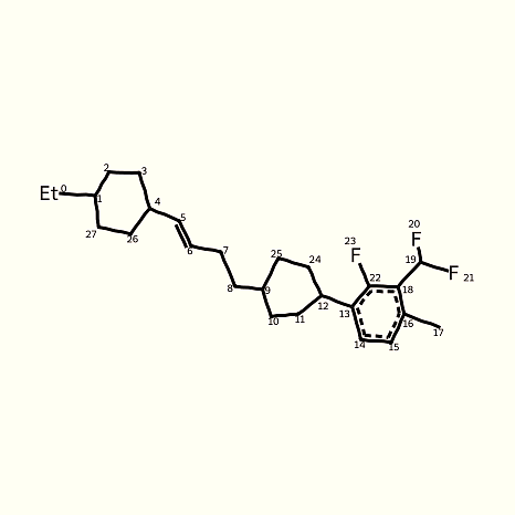 CCC1CCC(/C=C/CCC2CCC(c3ccc(C)c(C(F)F)c3F)CC2)CC1